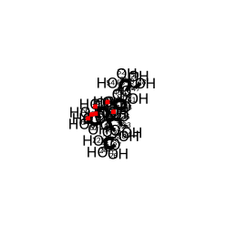 OC[C@H]1OC(O[C@@]2(C3O[C@H](CO)[C@H](O)[C@H](O)[C@H]3O)[C@@H](O[C@H]3[C@H](O)[C@@H](O)[C@@H](O)O[C@@H]3CO)O[C@H](CO)[C@@H](O[C@H]3O[C@H](CO)[C@@H](O[C@H]4O[C@H](CO)[C@@H](O)[C@H](O)[C@H]4O)[C@H](O)[C@H]3O)[C@@H]2O)[C@H](O)[C@@H](O)[C@H]1O